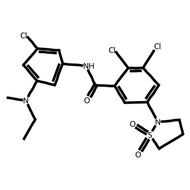 CCN(C)c1cc(Cl)cc(NC(=O)c2cc(N3CCCS3(=O)=O)cc(Cl)c2Cl)c1